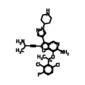 CC(N)C#Cc1oc2c(O[C@H](C)c3c(Cl)ccc(F)c3Cl)c(N)ncc2c1-c1cnn(C2CCNCC2)c1